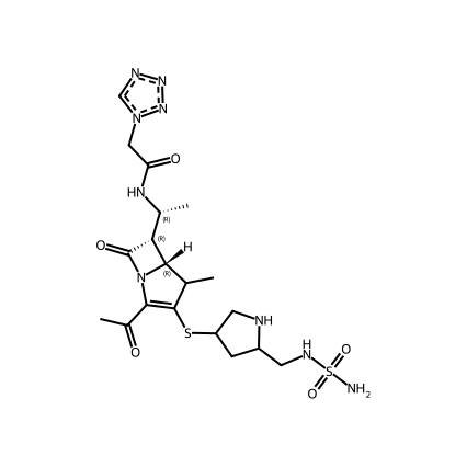 CC(=O)C1=C(SC2CNC(CNS(N)(=O)=O)C2)C(C)[C@H]2[C@@H]([C@@H](C)NC(=O)Cn3cnnn3)C(=O)N12